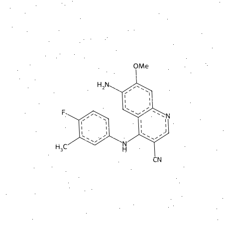 COc1cc2ncc(C#N)c(Nc3ccc(F)c(C)c3)c2cc1N